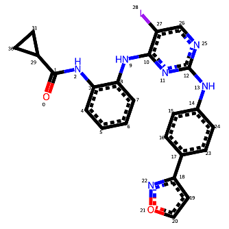 O=C(Nc1ccccc1Nc1nc(Nc2ccc(-c3ccon3)cc2)ncc1I)C1CC1